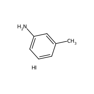 Cc1cccc(N)c1.I